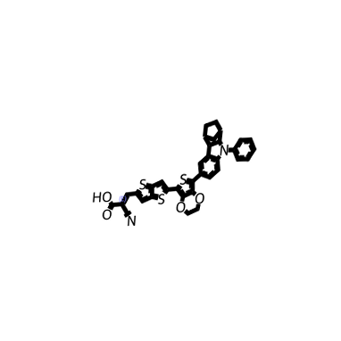 N#C/C(=C\c1cc2sc(-c3sc(-c4ccc5c(c4)C4C6CCC(C6)C4N5c4ccccc4)c4c3OCCO4)cc2s1)C(=O)O